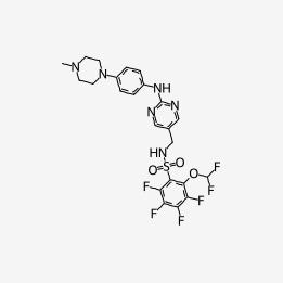 CN1CCN(c2ccc(Nc3ncc(CNS(=O)(=O)c4c(F)c(F)c(F)c(F)c4OC(F)F)cn3)cc2)CC1